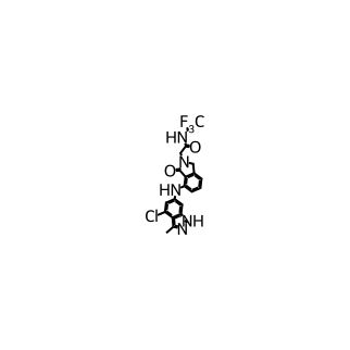 Cc1n[nH]c2cc(Nc3cccc4c3C(=O)N(CC(=O)NCC(F)(F)F)C4)cc(Cl)c12